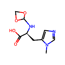 Cn1cncc1C[C@H](NC1OCO1)C(=O)O